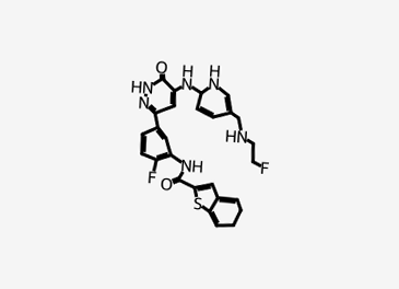 O=C(Nc1cc(-c2cc(NC3C=CC(CNCCF)=CN3)c(=O)[nH]n2)ccc1F)c1cc2c(s1)=CCCC=2